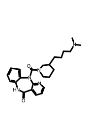 CN(C)CCCCC1CCCN(C(=O)N2c3ccccc3NC(=O)c3cccnc32)C1